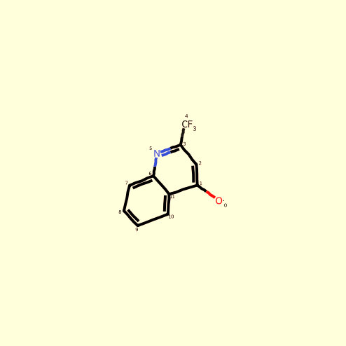 [O]c1cc(C(F)(F)F)nc2ccccc12